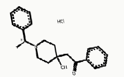 C[C@@H](c1ccccc1)N1CCC(O)(CC(=O)c2ccccc2)CC1.Cl